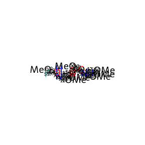 COc1ccc(C(=O)/C=C\Nc2ccccc2/C=C\c2cc(OC)c(OC)c(OOc3cc(C(=O)/C=C\Nc4ccccc4/C=C\c4cc(OC)c(OC)c(OC)c4)ccc3OC)c2)cc1F